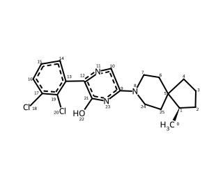 C[C@@H]1CCCC12CCN(c1cnc(-c3cccc(Cl)c3Cl)c(O)n1)CC2